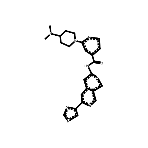 CN(C)C1CCN(c2cc(C(=O)Nc3cc4cc(-c5cncs5)ncc4cn3)ccn2)CC1